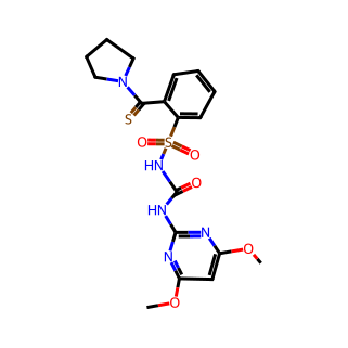 COc1cc(OC)nc(NC(=O)NS(=O)(=O)c2ccccc2C(=S)N2CCCC2)n1